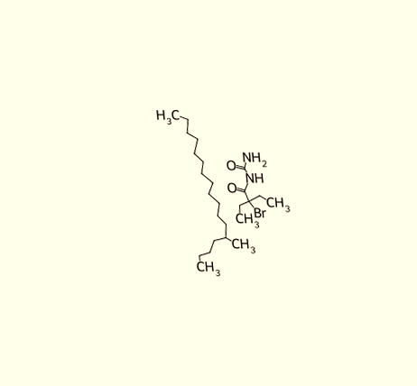 CCC(Br)(CC)C(=O)NC(N)=O.CCCCCCCCCCCCC(C)CCCC